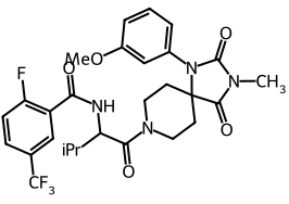 COc1cccc(N2C(=O)N(C)C(=O)C23CCN(C(=O)C(NC(=O)c2cc(C(F)(F)F)ccc2F)C(C)C)CC3)c1